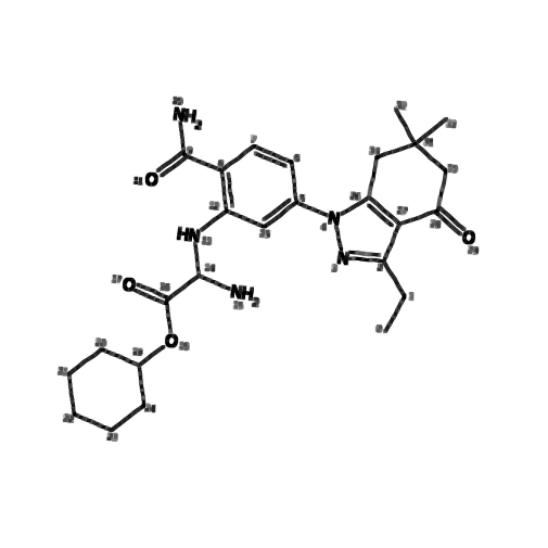 CCc1nn(-c2ccc(C(N)=O)c(NC(N)C(=O)OC3CCCCC3)c2)c2c1C(=O)CC(C)(C)C2